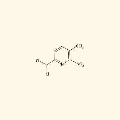 O=[N+]([O-])c1nc(C(Cl)Cl)ccc1C(Cl)(Cl)Cl